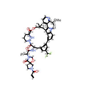 C=CC(=O)N1CC[C@]2(C1)OCN(C(C(=O)N[C@H]1Cc3cc(cc(C(F)F)c3)-c3ccc4c(c3)c(c(-c3cccnc3[C@H](C)OC)n4CC)CC(C)(C)COC(=O)[C@@H]3CCCN(N3)C1=O)C(C)C)C2=O